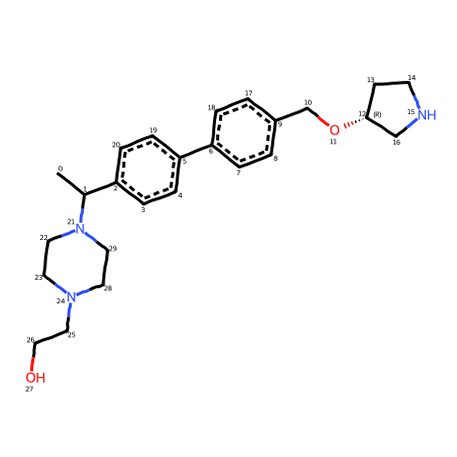 CC(c1ccc(-c2ccc(CO[C@@H]3CCNC3)cc2)cc1)N1CCN(CCO)CC1